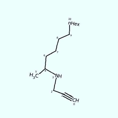 C#CCNC(C)CCCCCCCCCC